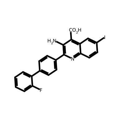 Nc1c(-c2ccc(-c3ccccc3F)cc2)nc2ccc(I)cc2c1C(=O)O